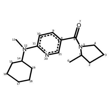 CC1CCCN1C(=O)c1ccc(N(C)C2CCCCC2)nc1